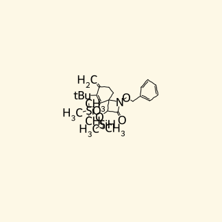 C=C1CCC2(C(O[Si](C)(C)C)=C1C(C)(C)C)C(O[SiH](C)C)C(=O)N2OCc1ccccc1